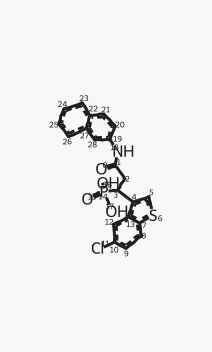 O=C(CC(c1csc2ccc(Cl)cc12)P(=O)(O)O)Nc1ccc2ccccc2c1